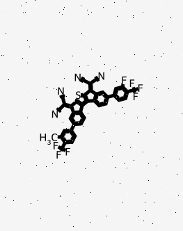 Cc1cc(-c2ccc3c(c2)C(=C(C#N)C#N)c2sc4c(c2-3)-c2ccc(-c3ccc(C(F)(F)F)c(F)c3)cc2C4=C(C#N)C#N)ccc1C(F)(F)F